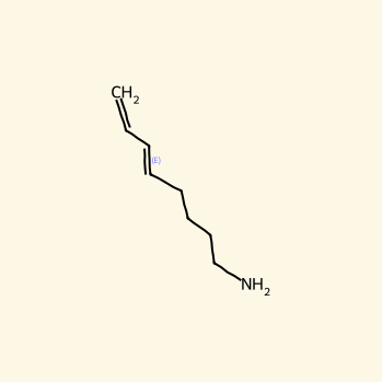 C=C/C=C/CCCCN